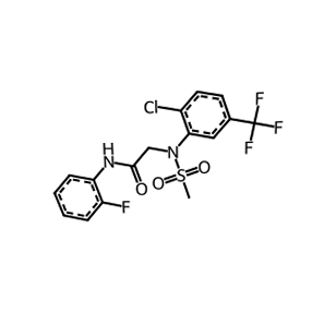 CS(=O)(=O)N(CC(=O)Nc1ccccc1F)c1cc(C(F)(F)F)ccc1Cl